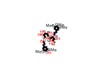 COc1cc(/C=C/C(=O)OC[C@H]2O[C@H](O[C@]3(CO)O[C@H](CO)[C@@H](O)[C@@H]3OC(=O)/C=C/c3cc(OC)c(OC)c(OC)c3)[C@H](O)[C@@H](O)[C@@H]2O)cc(OC)c1O